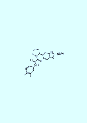 CNc1nc2cc([C@@H]3CCCCN3C(=O)C(=O)Nc3cnc(C)c(C)c3)ccc2s1